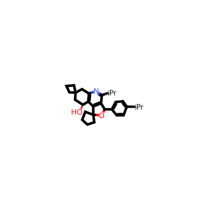 CC(C)c1ccc(C2OC3(CCCC3)c3c2c(C(C)C)nc2c3[C@@H](O)CC3(CCC3)C2)cc1